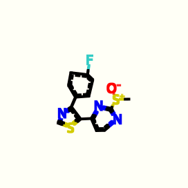 C[S+]([O-])c1nccc(-c2scnc2-c2ccc(F)cc2)n1